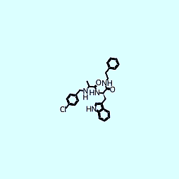 CC(NCc1ccc(Cl)cc1)C(=O)N[C@H](Cc1c[nH]c2ccccc12)C(=O)NCCc1ccccc1